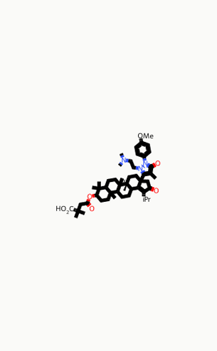 COc1ccc(-n2c(=O)c(C)c(C34CC[C@]5(C)C(CCC6C7(C)CCC(OC(=O)CC(C)(C)C(=O)O)C(C)(C)C7CCC65C)C3=C(C(C)C)C(=O)C4)n2CCN(C)C)cc1